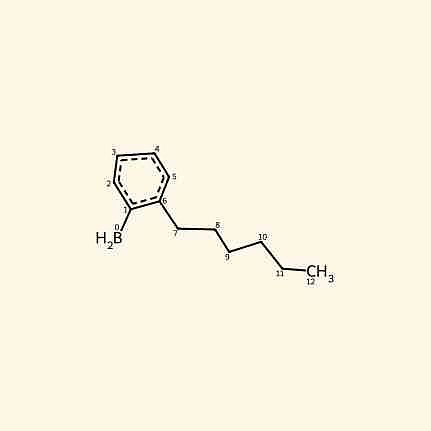 Bc1ccccc1CCCCCC